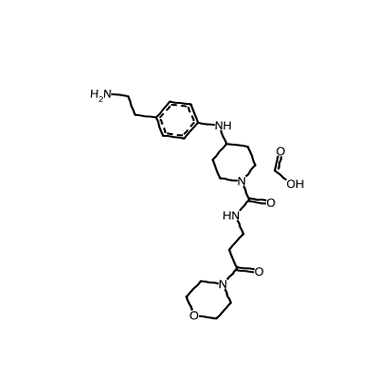 NCCc1ccc(NC2CCN(C(=O)NCCC(=O)N3CCOCC3)CC2)cc1.O=CO